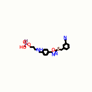 N#Cc1cccc(CSc2nnc(-c3ccc(CNCCCO[PH](=O)O)cc3)o2)c1